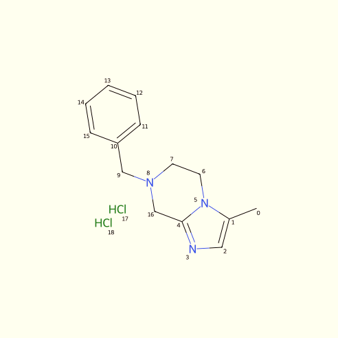 Cc1cnc2n1CCN(Cc1ccccc1)C2.Cl.Cl